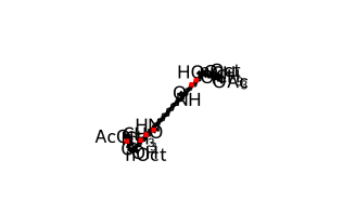 CCCCCCCCC(OC(=O)C[N+](C)(C)OC(C)=O)C(O)CCCCCCCC(=O)NCCCCCCCCCCNC(=O)CCCCCCCC(O)C(CCCCCCCC)OC(=O)C[N+](C)(C)OC(C)=O